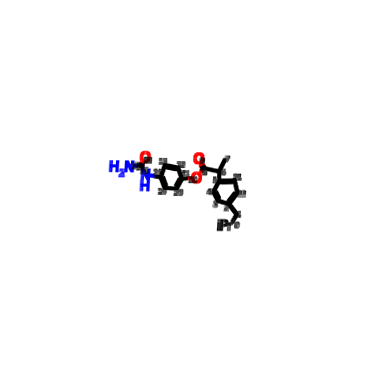 CC(C)Cc1ccc(C(C)C(=O)Oc2ccc(NC(N)=O)cc2)cc1